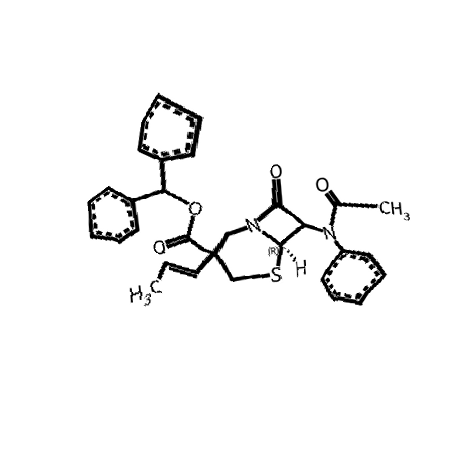 CC=CC1(C(=O)OC(c2ccccc2)c2ccccc2)CS[C@@H]2C(N(C(C)=O)c3ccccc3)C(=O)N2C1